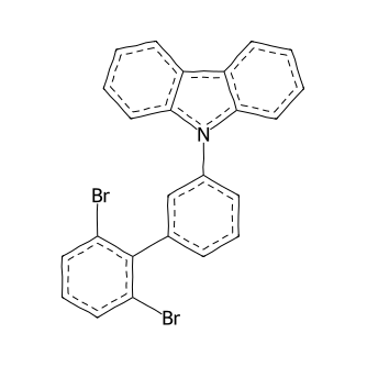 Brc1cccc(Br)c1-c1cccc(-n2c3ccccc3c3ccccc32)c1